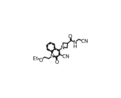 CCOCCn1c(=O)c(C#N)c(N2CC(C(=O)NCC#N)C2)c2ccccc21